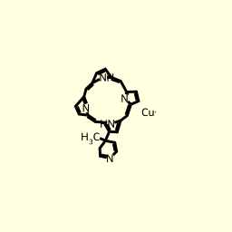 CC1(c2cc3cc4nc(cc5ccc(cc6nc(cc2[nH]3)C=C6)[nH]5)C=C4)C=CN=CC1.[Cu]